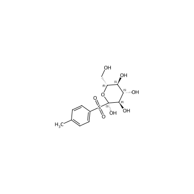 Cc1ccc(S(=O)(=O)[C@@]2(O)O[C@H](CO)[C@@H](O)[C@H](O)[C@H]2O)cc1